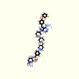 Nc1ncnc2c1c(-c1ccc(Oc3ccccc3)cc1)nn2[C@@H]1CCCN(C2CCN(CC3CCN(c4ccc(C(=O)NC5CCC(=O)NC5=O)cc4)CC3)CC2)C1